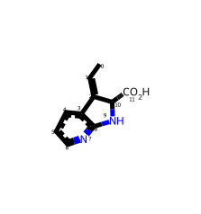 CC=C1c2cccnc2NC1C(=O)O